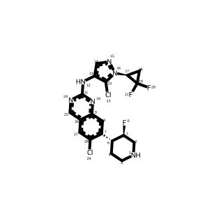 F[C@H]1CNCC[C@@H]1c1cc2nc(Nc3cnn([C@H]4CC4(F)F)c3Cl)ncc2cc1Cl